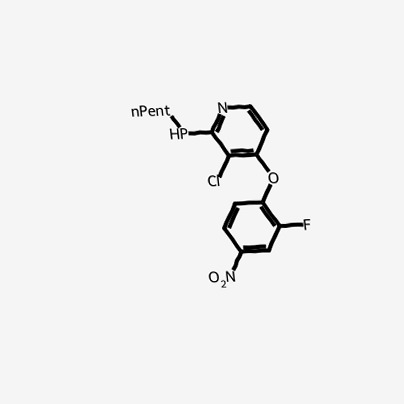 CCCCCPc1nccc(Oc2ccc([N+](=O)[O-])cc2F)c1Cl